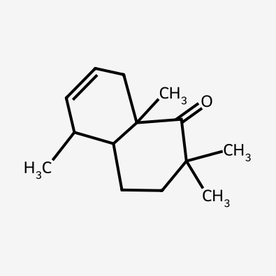 CC1C=CCC2(C)C(=O)C(C)(C)CCC12